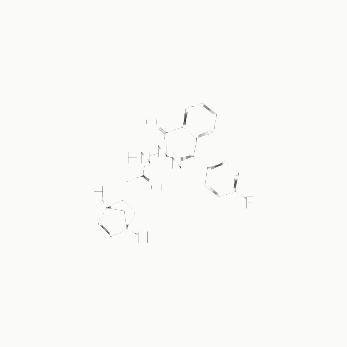 O=C(C[C@@H]1C[C@@H]2C=C[C@H]1C2)Nn1nc(-c2ccc(F)cc2)c2ccccc2c1=O